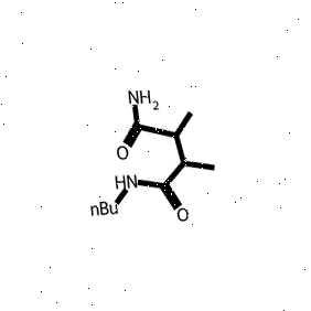 CCCCNC(=O)C(C)C(C)C(N)=O